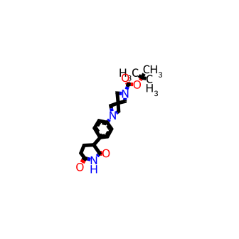 CC(C)(C)OC(=O)N1CC2(C1)CN(c1ccc(C3CCC(=O)NC3=O)cc1)C2